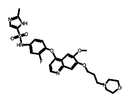 COc1cc2c(Oc3ccc(NS(=O)(=O)c4cnc(C)[nH]4)cc3F)ccnc2cc1OCCCN1CCOCC1